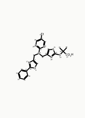 CCc1cnc(N(Cc2coc(-c3ccccc3)n2)Cc2csc(SC(C)(C)C(=O)O)n2)nc1